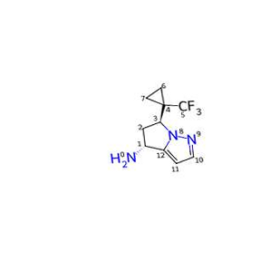 N[C@@H]1C[C@@H](C2(C(F)(F)F)CC2)n2nccc21